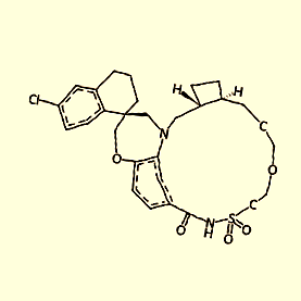 O=C1NS(=O)(=O)CCOCCC[C@@H]2CC[C@H]2CN2C[C@@]3(CCCc4cc(Cl)ccc43)COc3ccc1cc32